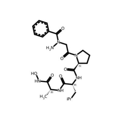 CC(C)C[C@@H](NC(=O)[C@@H]1CCCN1C(=O)CN(N)C(=O)c1ccccc1)C(=O)N[C@H](C)C(=O)NO